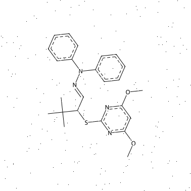 COc1cc(OC)nc(SC(C=NN(c2ccccc2)c2ccccc2)C(C)(C)C)n1